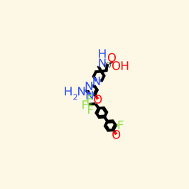 COc1ccc(-c2ccc(C(Oc3cc(N4CCC5(CC4)CN[C@H](C(=O)O)C5)nc(N)n3)C(F)(F)F)cc2)cc1F